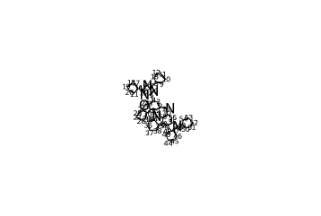 N#Cc1cc(-c2nc(-c3ccccc3)nc(-c3ccccc3)n2)c2oc3ccccc3c2c1-n1c2ccccc2c2c3c4ccccc4n(-c4ccccc4)c3ccc21